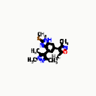 CSc1nc2c(-c3c(C)nn(C)c3C)cc(-c3c(C)noc3C)cc2[nH]1